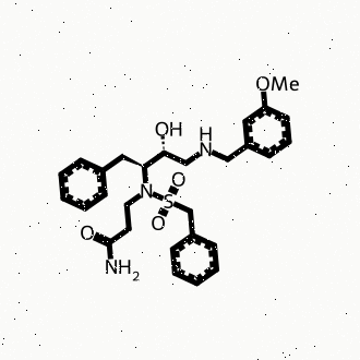 COc1cccc(CNC[C@@H](O)[C@H](Cc2ccccc2)N(CCC(N)=O)S(=O)(=O)Cc2ccccc2)c1